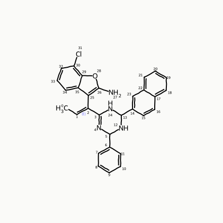 C/C=C(/C1=NC(c2ccccc2)NC(c2ccc3ccccc3c2)N1)c1c(N)oc2c(Cl)cccc12